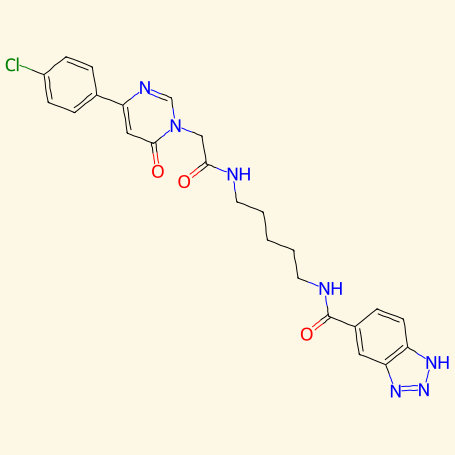 O=C(Cn1cnc(-c2ccc(Cl)cc2)cc1=O)NCCCCCNC(=O)c1ccc2[nH]nnc2c1